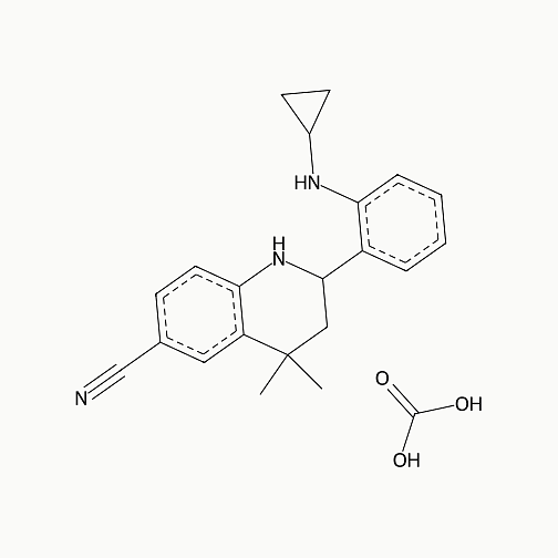 CC1(C)CC(c2ccccc2NC2CC2)Nc2ccc(C#N)cc21.O=C(O)O